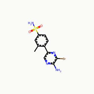 Cc1cc(S(N)(=O)=O)ccc1-c1cnc(N)c(Br)n1